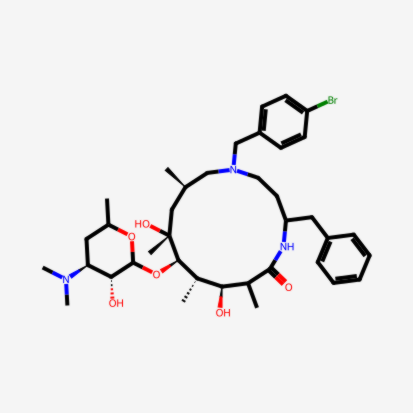 CC1C[C@H](N(C)C)[C@@H](O)C(O[C@@H]2[C@@H](C)[C@H](O)C(C)C(=O)NC(Cc3ccccc3)CCN(Cc3ccc(Br)cc3)C[C@H](C)C[C@@]2(C)O)O1